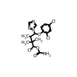 CC(C(Oc1ccc(Cl)cc1Cl)n1cncn1)C(C)(C)C(Cl)OC(N)=O